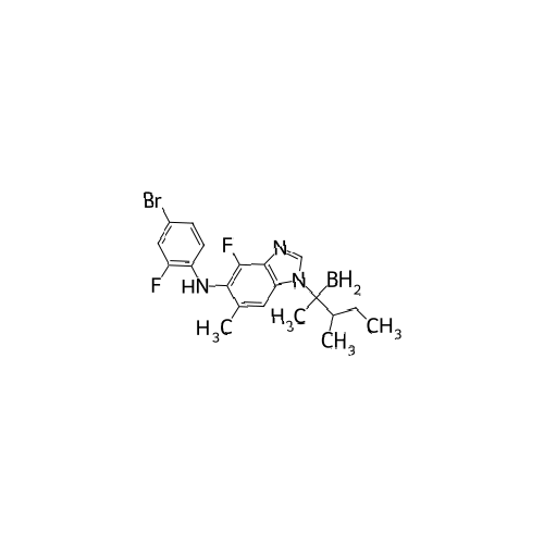 BC(C)(C(C)CC)n1cnc2c(F)c(Nc3ccc(Br)cc3F)c(C)cc21